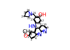 COc1ccc2nc3ncccc3c(Nc3ccc(O)c(CN4CCCC4)c3)c2c1